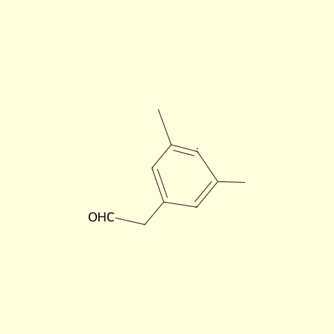 Cc1[c]c(C)cc(CC=O)c1